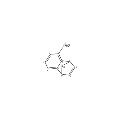 O=Cc1cccc2c1C1C=CC2O1